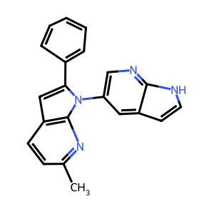 Cc1ccc2cc(-c3ccccc3)n(-c3cnc4[nH]ccc4c3)c2n1